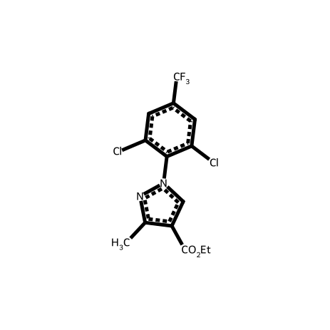 CCOC(=O)c1cn(-c2c(Cl)cc(C(F)(F)F)cc2Cl)nc1C